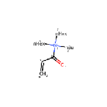 C=CC(=O)[N+](CCCC)(CCCCCC)CCCCCC